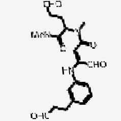 CNC(=O)C(CCC=O)N(C)C(=O)/C=C(\C=O)Nc1cccc(CCC=O)c1